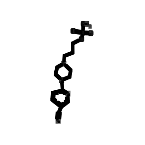 CS(=O)(=O)OCCCN1CCN(c2ccc(C#N)cn2)CC1